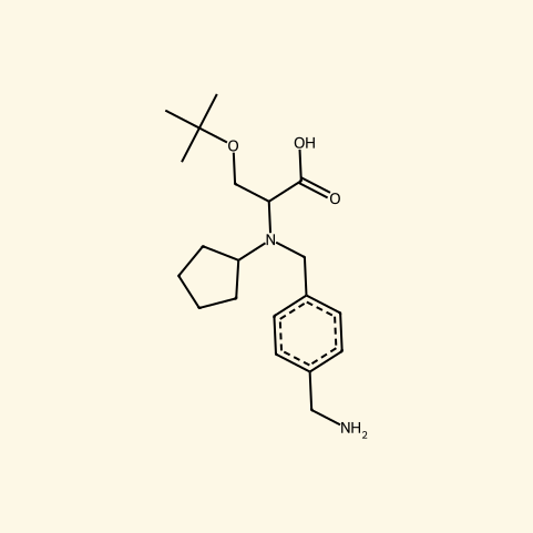 CC(C)(C)OCC(C(=O)O)N(Cc1ccc(CN)cc1)C1CCCC1